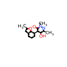 Cc1cc2cccc(-c3c(O)c(C)nn(C)c3=O)c2o1